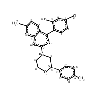 Cc1ccc2c(-c3ccc(Cl)cc3F)nc(N3CCO[C@@H](c4cnc(C)nc4)C3)nc2n1